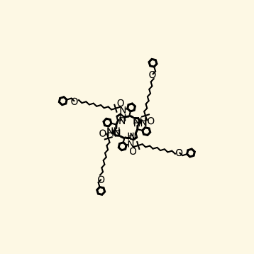 CC(C)(CCCCCCCCCCOCc1ccccc1)C(=O)Nc1ccccc1-c1c2nc(c(-c3ccccc3NC(=O)C(C)(C)CCCCCCCCCCOCc3ccccc3)c3ccc([nH]3)c(-c3ccccc3NC(=O)C(C)(C)CCCCCCCCCCOCc3ccccc3)c3nc(c(-c4ccccc4NC(=O)C(C)(C)CCCCCCCCCCOCc4ccccc4)c4ccc1[nH]4)C=C3)C=C2